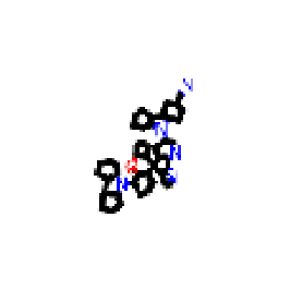 N#Cc1ccc2c(c1)c1ccccc1n2-c1cnc2c(c1)C1(c3ccccc3Oc3c(-n4c5ccccc5c5ccccc54)cccc31)c1cccnc1-2